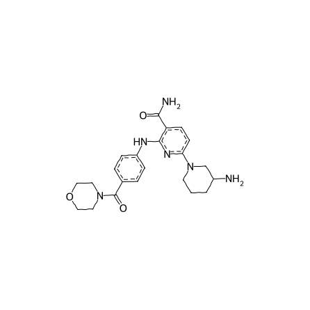 NC(=O)c1ccc(N2CCCC(N)C2)nc1Nc1ccc(C(=O)N2CCOCC2)cc1